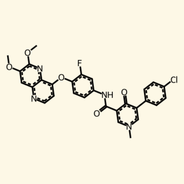 COc1cc2nccc(Oc3ccc(NC(=O)c4cn(C)cc(-c5ccc(Cl)cc5)c4=O)cc3F)c2nc1OC